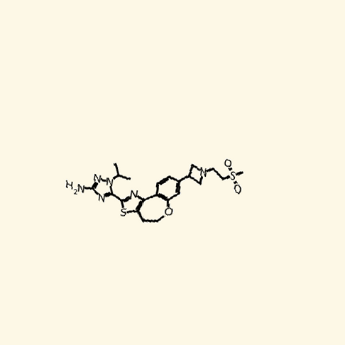 CC(C)n1nc(N)nc1-c1nc2c(s1)CCOc1cc(C3CN(CCS(C)(=O)=O)C3)ccc1-2